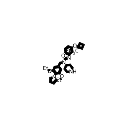 CCOc1cc(CN(c2nc3cc(OC4(C(=O)O)CCC4)ccc3o2)C2CCNCC2)cc(OCC)c1-n1cccc1